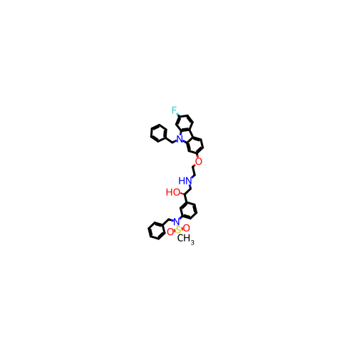 CS(=O)(=O)N(Cc1ccccc1)c1cccc([C@@H](O)CNCCOc2ccc3c4ccc(F)cc4n(Cc4ccccc4)c3c2)c1